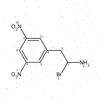 NC(Br)Cc1cc([N+](=O)[O-])cc([N+](=O)[O-])c1